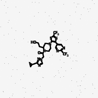 O=C(Cn1cnc(C2CC2)n1)N1CCN(c2sc(C(F)(F)F)nc2-c2cnc(C(F)(F)F)nc2)CC1CCO